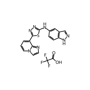 O=C(O)C(F)(F)F.c1cc(-c2nnc(Nc3ccc4[nH]ncc4c3)s2)c2nccn2c1